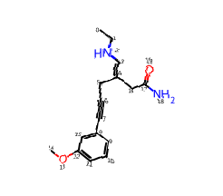 CCN/C=C(\CC#Cc1cccc(OC)c1)CC(N)=O